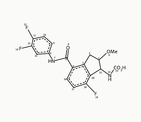 COC1Cc2c(C(=O)Nc3ccc(F)c(F)c3)ccc(F)c2C1NC(=O)O